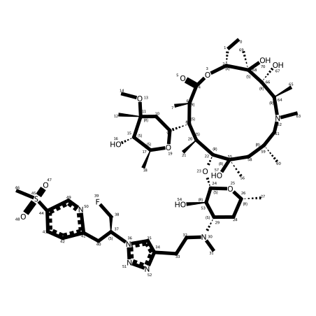 CC[C@H]1OC(=O)[C@H](C)[C@@H](C2C[C@@](C)(OC)[C@@H](O)[C@H](C)O2)[C@H](C)[C@@H](O[C@@H]2O[C@H](C)C[C@H](N(C)CCc3cn([C@H](CF)Cc4ccc(S(C)(=O)=O)cn4)nn3)[C@H]2O)[C@](C)(O)C[C@@H](C)CN(C)[C@H](C)[C@@H](O)[C@]1(C)O